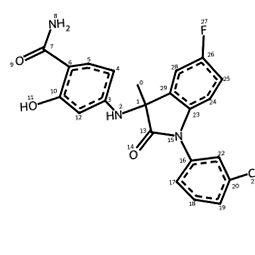 CC1(Nc2ccc(C(N)=O)c(O)c2)C(=O)N(c2cccc(Cl)c2)c2ccc(F)cc21